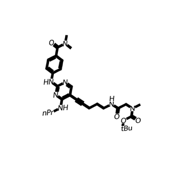 CCCNc1nc(Nc2ccc(C(=O)N(C)C)cc2)ncc1C#CCCCNC(=O)CN(C)C(=O)OC(C)(C)C